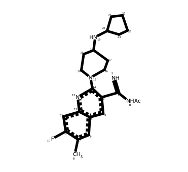 CC(=O)NC(=N)c1cc2cc(C)c(F)cc2nc1N1CCC(NC2CCCC2)CC1